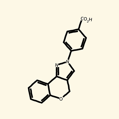 O=C(O)c1ccc(-n2cc3c(n2)-c2ccccc2OC3)cc1